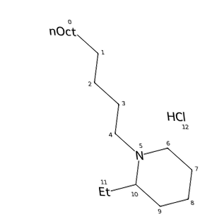 CCCCCCCCCCCCN1CCCCC1CC.Cl